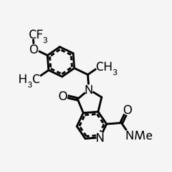 CNC(=O)c1nccc2c1CN(C(C)c1ccc(OC(F)(F)F)c(C)c1)C2=O